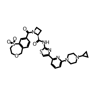 O=C(Nc1nc(-c2cccc(N3CCN(C4CC4)CC3)n2)cs1)[C@@H]1CCN1C(=O)c1ccc2c(c1)S(=O)(=O)CCOC2